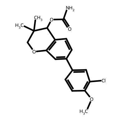 COc1ccc(-c2ccc3c(c2)OCC(C)(C)C3OC(N)=O)cc1Cl